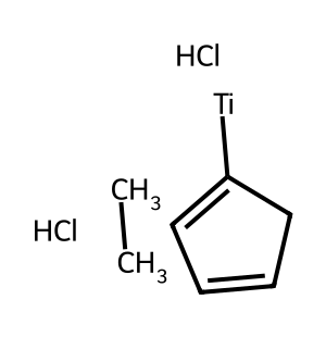 CC.Cl.Cl.[Ti][C]1=CC=CC1